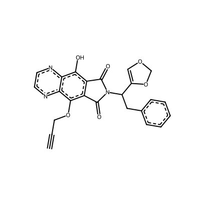 C#CCOc1c2c(c(O)c3nccnc13)C(=O)N(C(Cc1ccccc1)C1=COCO1)C2=O